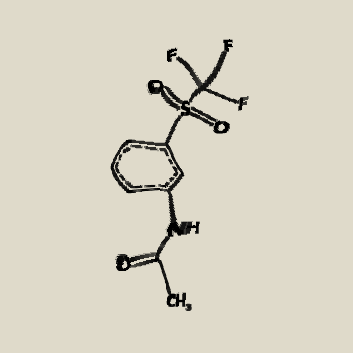 CC(=O)Nc1cccc(S(=O)(=O)C(F)(F)F)c1